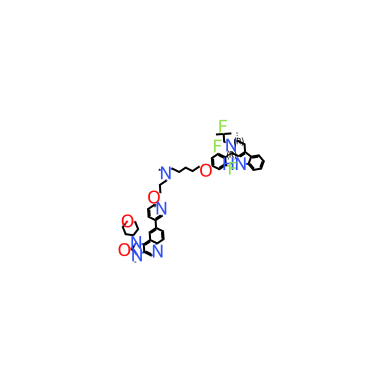 C[C@@H]1Cc2c([nH]c3ccccc23)[C@@H](c2c(F)cc(OCCCCCN(C)CCCOc3ccc(-c4ccc5ncc6c(c5c4)n(C4CCOCC4)c(=O)n6C)cn3)cc2F)N1CC(C)(C)F